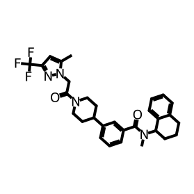 Cc1cc(C(F)(F)F)nn1CC(=O)N1CCC(c2cccc(C(=O)N(C)C3CCCc4ccccc43)c2)CC1